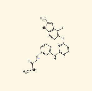 CNC(=O)/C=C/c1cccc(Nc2nccc(Oc3ccc4[nH]c(C)cc4c3F)n2)c1